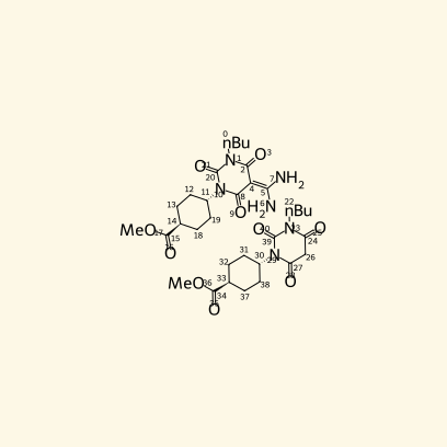 CCCCN1C(=O)C(=C(N)N)C(=O)N([C@H]2CC[C@H](C(=O)OC)CC2)C1=O.CCCCN1C(=O)CC(=O)N([C@H]2CC[C@H](C(=O)OC)CC2)C1=O